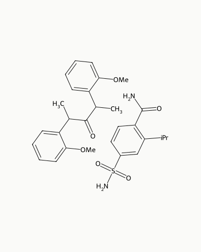 CC(C)c1cc(S(N)(=O)=O)ccc1C(N)=O.COc1ccccc1C(C)C(=O)C(C)c1ccccc1OC